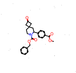 COC(=O)c1ccc(C2CC3(CCN2C(=O)OCc2ccccc2)CC(=O)C3)cc1